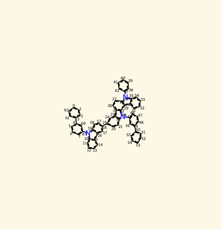 c1ccc(-c2cccc(-n3c4ccccc4c4cc(-c5ccc6c(c5)c5ccc7c(c8ccccc8n7-c7ccccc7)c5n6-c5cccc(-c6ccccc6)c5)ccc43)c2)cc1